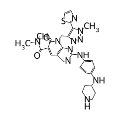 CN(C)C(=O)c1cc2cnc(Nc3ccc(NC4CCNCC4)cc3)nc2n(Cc2nnn(C)c2-c2nccs2)c1=O